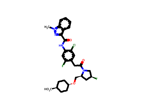 Cn1nc(C(=O)Nc2cc(F)c(CC(=O)N3C[C@@H](F)C[C@H]3CO[C@H]3CC[C@H](C(=O)O)CC3)cc2Cl)c2ccccc21